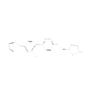 Oc1cc(-n2cccn2)ccc1-c1ccc(OC[C@H]2CCNC2)nn1